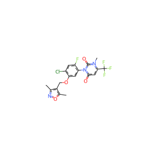 Cc1noc(C)c1COc1cc(-n2c(=O)cc(C(F)(F)F)n(C)c2=O)c(F)cc1Cl